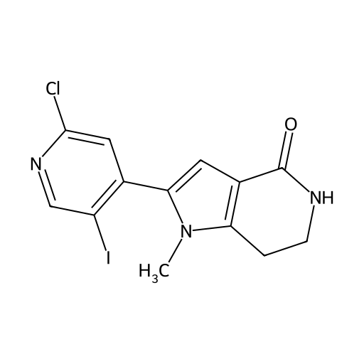 Cn1c(-c2cc(Cl)ncc2I)cc2c1CCNC2=O